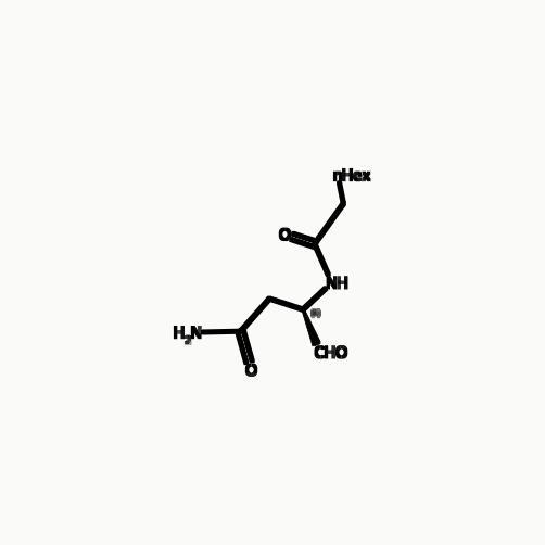 CCCCCCCC(=O)N[C@@H](C=O)CC(N)=O